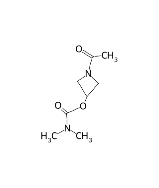 CC(=O)N1CC(OC(=O)N(C)C)C1